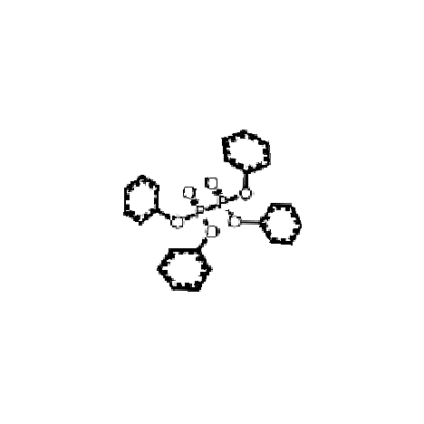 O=P(Oc1ccccc1)(Oc1ccccc1)P(=O)(Oc1ccccc1)Oc1ccccc1